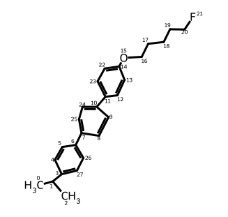 CC(C)c1ccc(-c2ccc(-c3ccc(OCCCCCF)cc3)cc2)cc1